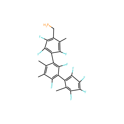 Cc1c(C)c(-c2c(F)c(C)c(CP)c(F)c2F)c(F)c(-c2c(C)c(F)c(F)c(F)c2F)c1F